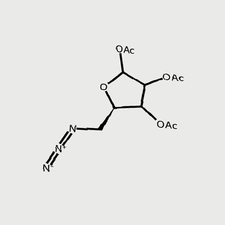 CC(=O)OC1O[C@H](CN=[N+]=[N-])C(OC(C)=O)C1OC(C)=O